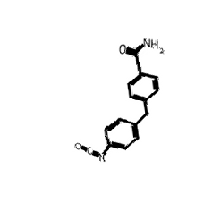 NC(=O)c1ccc(Cc2ccc(N=C=O)cc2)cc1